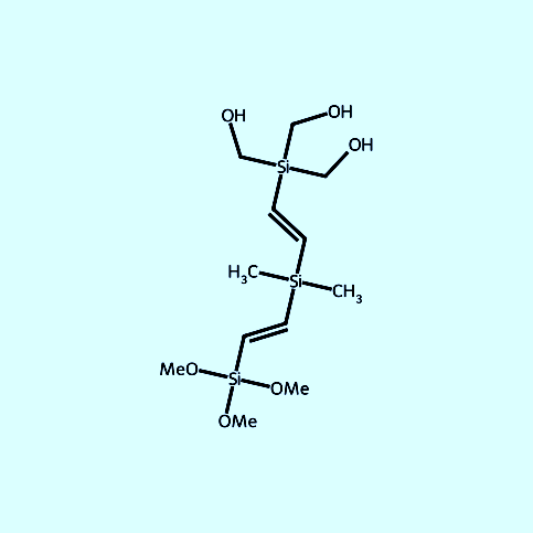 CO[Si](C=C[Si](C)(C)C=C[Si](CO)(CO)CO)(OC)OC